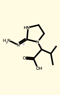 CC(C)C(C(=O)O)N1CCN/C1=N\N